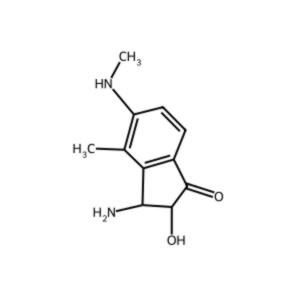 CNc1ccc2c(c1C)C(N)C(O)C2=O